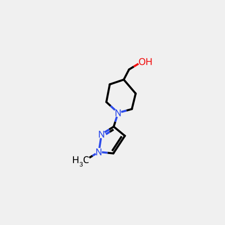 Cn1ccc(N2CCC(CO)CC2)n1